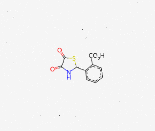 O=C1N[C](c2ccccc2C(=O)O)SC1=O